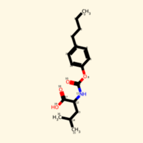 CCCCc1ccc(OC(=O)NC(CC(C)C)C(=O)O)cc1